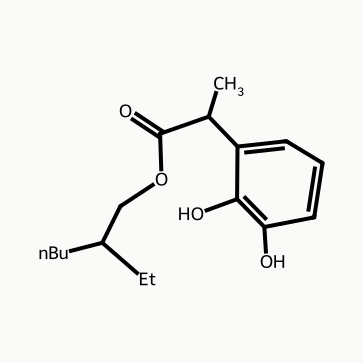 CCCCC(CC)COC(=O)C(C)c1cccc(O)c1O